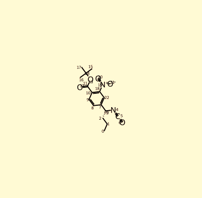 CCC[C@@H](N=C=O)c1ccc(C(=O)OC(C)(C)C)c([N+](=O)[O-])c1